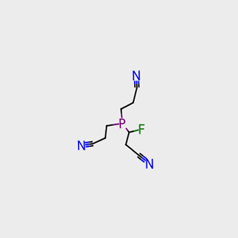 N#CCCP(CCC#N)C(F)CC#N